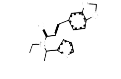 CCN(C(=O)/C=C/c1ccc2c(c1)OCO2)C(C)c1cccs1